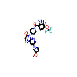 CO[C@@H]1CCN(c2cnc3c(c2)ncc(=O)n3C2CCN(C(=O)c3ccc(OC(F)(F)F)cc3N)CC2)C1